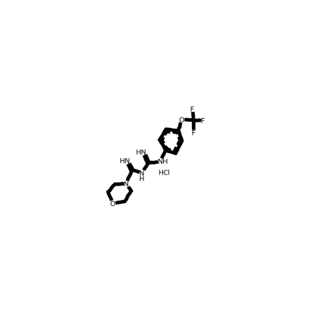 Cl.N=C(NC(=N)N1CCOCC1)Nc1ccc(OC(F)(F)F)cc1